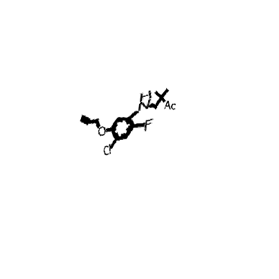 C#CCOc1cc(NCC(C)(C)C(C)=O)c(F)cc1Cl